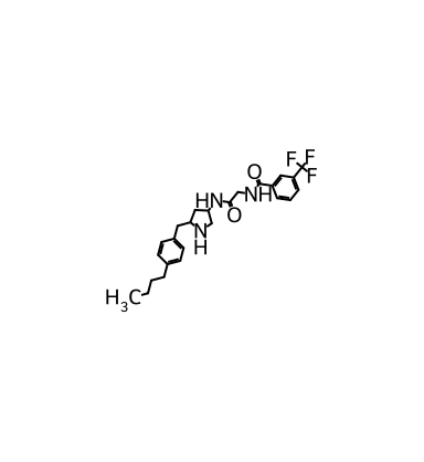 CCCCc1ccc(CC2CC(NC(=O)CNC(=O)c3cccc(C(F)(F)F)c3)CN2)cc1